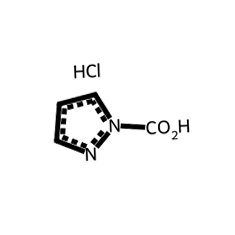 Cl.O=C(O)n1cccn1